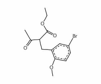 CCOC(=O)C(Cc1cc(Br)ccc1OC)C(C)=O